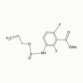 C=CCOC(=O)Nc1ccc(F)c(C(=O)OC)c1F